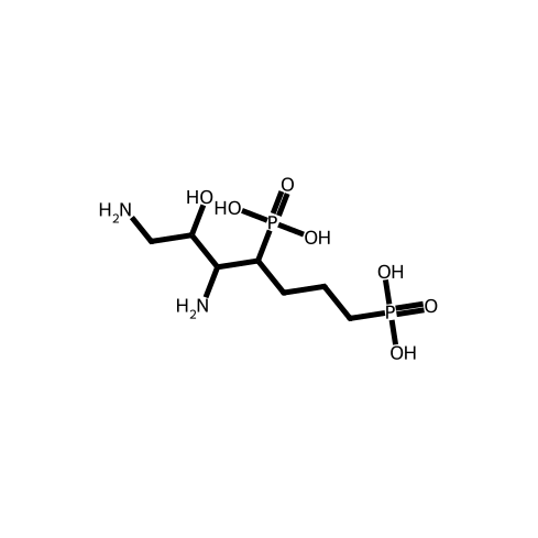 NCC(O)C(N)C(CCCP(=O)(O)O)P(=O)(O)O